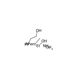 CC(C)CCO.CCCCCC.CCO.N.O